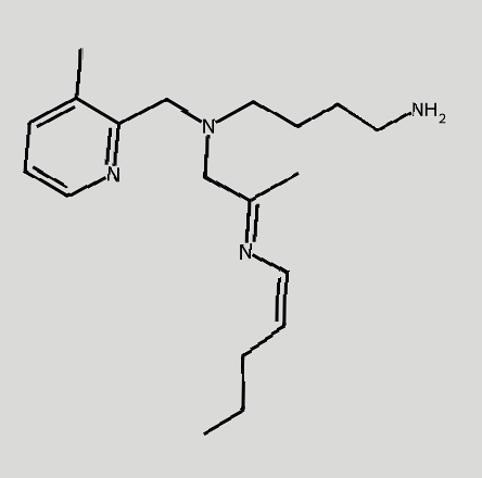 CCC/C=C\N=C(/C)CN(CCCCN)Cc1ncccc1C